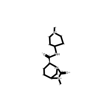 CN1CCC(NC(=O)[C@@H]2CCC3CN2C(=O)N3C)CC1